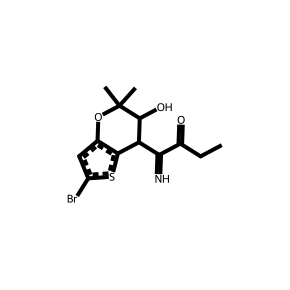 CCC(=O)C(=N)C1c2sc(Br)cc2OC(C)(C)C1O